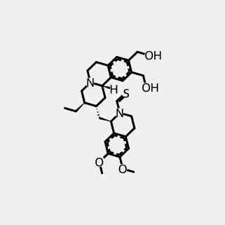 CC[C@H]1CN2CCc3cc(CO)c(CO)cc3[C@@H]2C[C@@H]1C[C@@H]1c2cc(OC)c(OC)cc2CCN1C=S